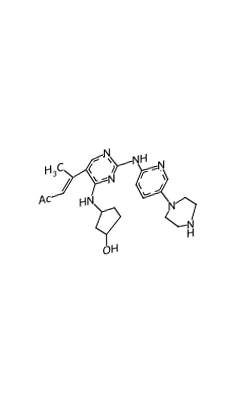 CC(=O)C=C(C)c1cnc(Nc2ccc(N3CCNCC3)cn2)nc1NC1CCC(O)C1